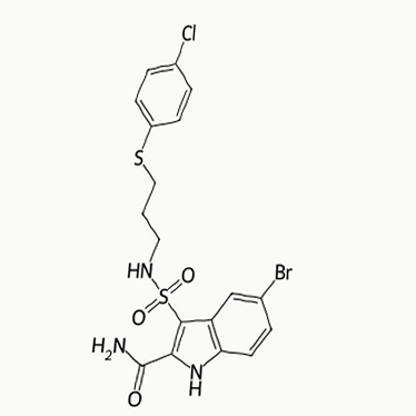 NC(=O)c1[nH]c2ccc(Br)cc2c1S(=O)(=O)NCCCSc1ccc(Cl)cc1